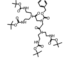 CC(C)(C)OC(=O)NCCN(CCNC(=O)OC(C)(C)C)C(=O)CN(CC(=O)N(CCNC(=O)OC(C)(C)C)CCNC(=O)OC(C)(C)C)C(=O)OCc1ccccc1